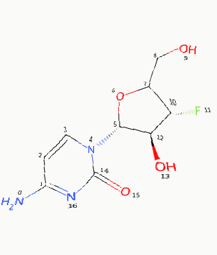 Nc1ccn([C@@H]2OC(CO)[C@H](F)[C@H]2O)c(=O)n1